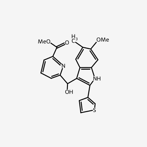 COC(=O)c1cccc(C(O)c2c(-c3ccsc3)[nH]c3cc(OC)c(C)cc23)n1